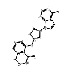 Cc1ncnc2c1ccn2C1CC(Oc2cccc3c2C(=O)NCC3)CO1